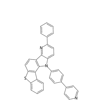 c1ccc(-c2ccc3c(n2)c2ccc4sc5ccccc5c4c2n3-c2ccc(-c3ccncc3)cc2)cc1